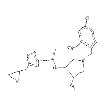 CC1CN(Cc2ccc(Cl)cc2Cl)CC1NC(=O)c1cc(C2CC2)on1